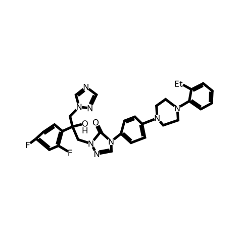 CCc1ccccc1N1CCN(c2ccc(-n3cnn(CC(O)(Cn4cncn4)c4ccc(F)cc4F)c3=O)cc2)CC1